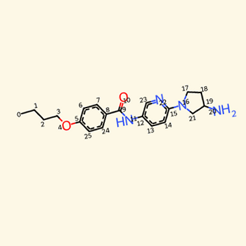 CCCCOc1ccc(C(=O)Nc2ccc(N3CCC(N)C3)nc2)cc1